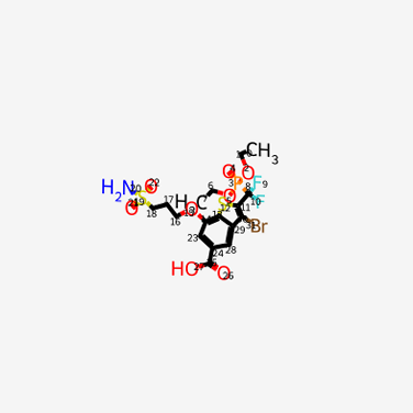 CCOP(=O)(OCC)C(F)(F)c1sc2c(OCCCS(N)(=O)=O)cc(C(=O)O)cc2c1Br